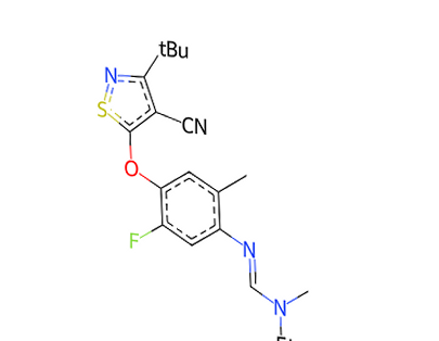 CCN(C)C=Nc1cc(F)c(Oc2snc(C(C)(C)C)c2C#N)cc1C